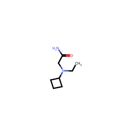 CCN(CC(N)=O)C1CCC1